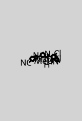 COc1c(-c2nc3ccc(-c4nc5ccc(C#N)cc5[nH]4)cc3[nH]2)cc(Cl)c2nc(C)[nH]c12